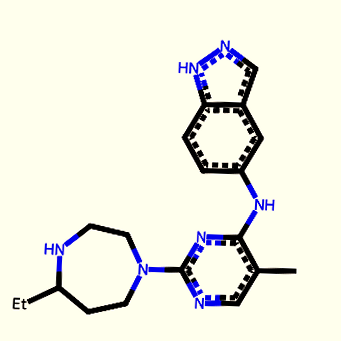 CCC1CCN(c2ncc(C)c(Nc3ccc4[nH]ncc4c3)n2)CCN1